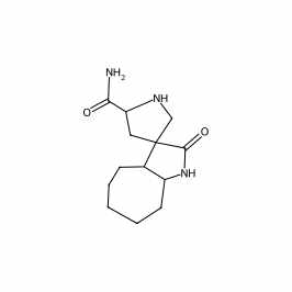 NC(=O)C1CC2(CN1)C(=O)NC1CCCCCC12